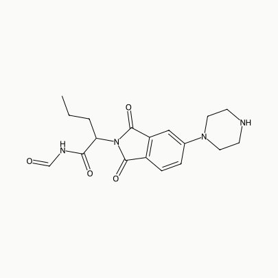 CCCC(C(=O)NC=O)N1C(=O)c2ccc(N3CCNCC3)cc2C1=O